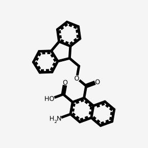 Nc1cc2ccccc2c(C(=O)OCC2c3ccccc3-c3ccccc32)c1C(=O)O